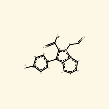 O=CCn1c(C(=O)O)c(-c2ccc(Cl)cc2)c2ncccc21